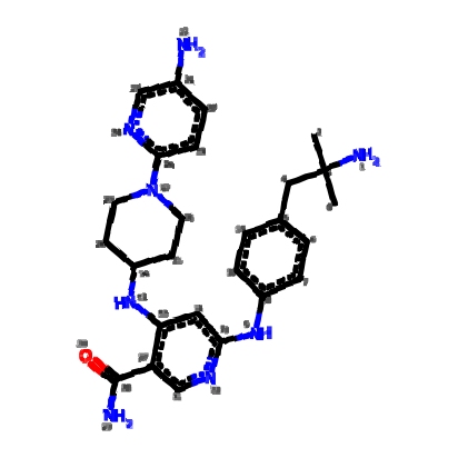 CC(C)(N)Cc1ccc(Nc2cc(NC3CCN(c4ccc(N)cn4)CC3)c(C(N)=O)cn2)cc1